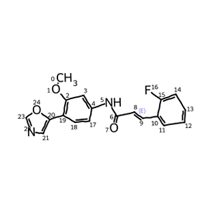 COc1cc(NC(=O)/C=C/c2ccccc2F)ccc1-c1cnco1